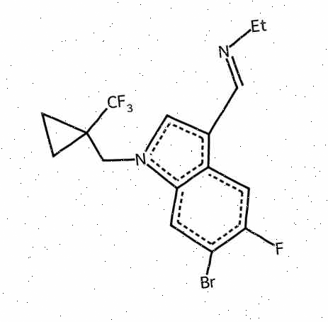 CC/N=C/c1cn(CC2(C(F)(F)F)CC2)c2cc(Br)c(F)cc12